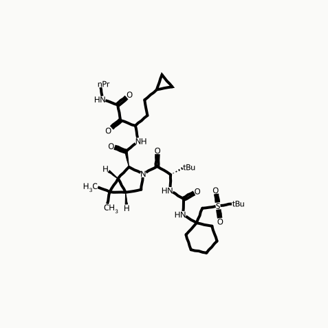 CCCNC(=O)C(=O)C(CCC1CC1)NC(=O)[C@@H]1[C@@H]2[C@H](CN1C(=O)[C@@H](NC(=O)NC1(CS(=O)(=O)C(C)(C)C)CCCCC1)C(C)(C)C)C2(C)C